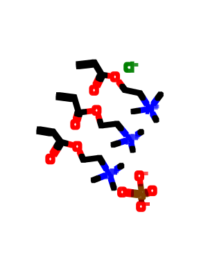 C=CC(=O)OCC[N+](C)(C)C.C=CC(=O)OCC[N+](C)(C)C.C=CC(=O)OCC[N+](C)(C)C.O=S(=O)([O-])[O-].[Cl-]